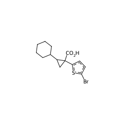 O=C(O)C1(c2ccc(Br)s2)CC1C1CCCCC1